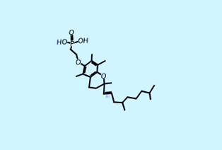 Cc1c(C)c2c(c(C)c1OCCP(=O)(O)O)CCC(C)(/C=C/CC(C)CCCC(C)C)O2